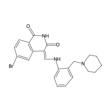 O=C1NC(=O)c2ccc(Br)cc2C1=CNc1ccccc1CN1CCCCC1